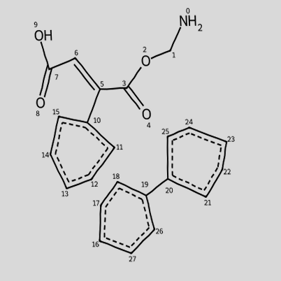 NCOC(=O)/C(=C/C(=O)O)c1ccccc1.c1ccc(-c2ccccc2)cc1